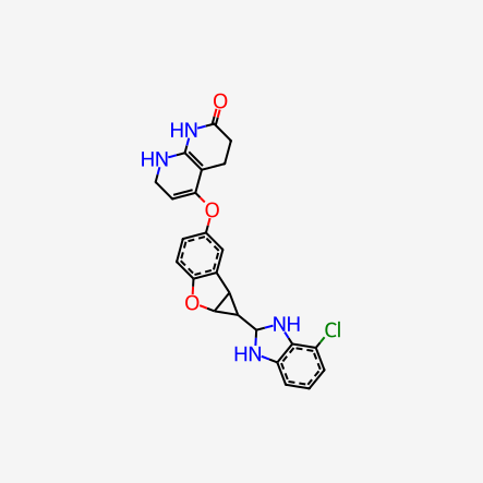 O=C1CCC2=C(NCC=C2Oc2ccc3c(c2)C2C(O3)C2C2Nc3cccc(Cl)c3N2)N1